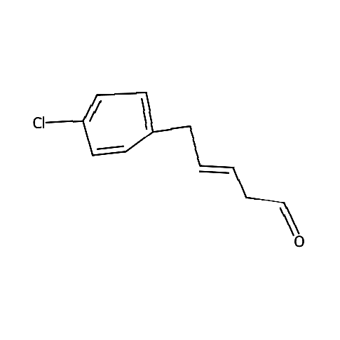 O=CCC=CCc1ccc(Cl)cc1